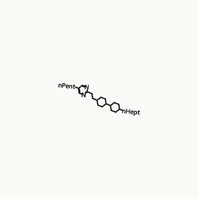 CCCCCCCC1CCC(C2CCC(CCc3ncc(CCCCC)cn3)CC2)CC1